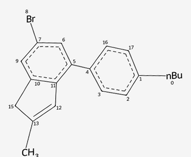 CCCCc1ccc(-c2cc(Br)cc3c2C=C(C)C3)cc1